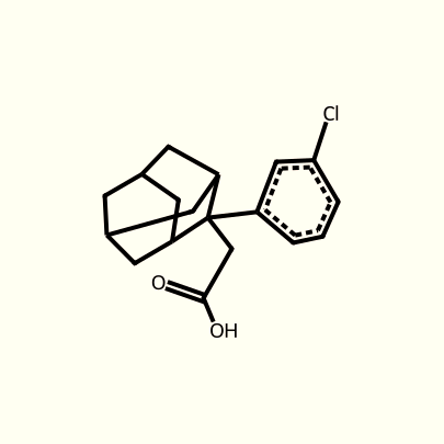 O=C(O)CC1(c2cccc(Cl)c2)C2CC3CC(C2)CC1C3